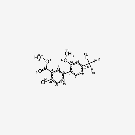 COC(=O)c1nc(-c2ccc(C(F)(F)F)cc2OC)ncc1Cl